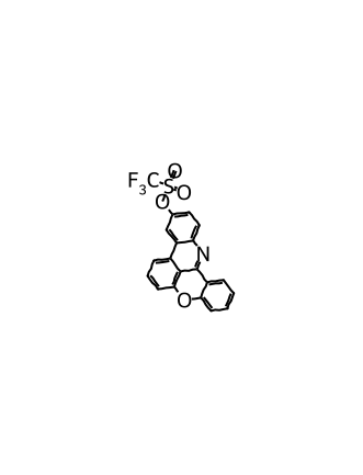 O=S(=O)(Oc1ccc2nc3c4c(cccc4c2c1)Oc1ccccc1-3)C(F)(F)F